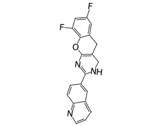 Fc1cc(F)c2c(c1)CC1=C(N=C(c3ccc4ncccc4c3)NC1)O2